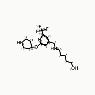 OCCCCCNCc1cc(OC2CCNCC2)nc(C(F)(F)F)c1